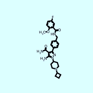 COc1ccc(F)cc1C(=O)NCc1ccc(-c2nn(C3CCN(C4CCC4)CC3)c(N)c2C(N)=O)cc1